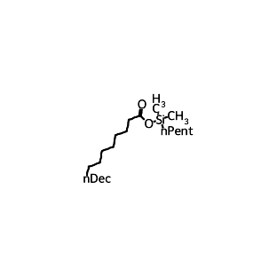 CCCCCCCCCCCCCCCCCC(=O)O[Si](C)(C)CCCCC